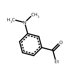 CCC(=O)c1cccc(N(C)C)c1